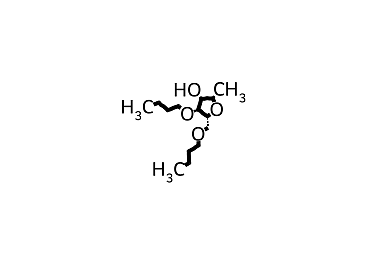 CCCCOC[C@H]1O[C@H](C)[C@H](O)[C@@H]1OCCCC